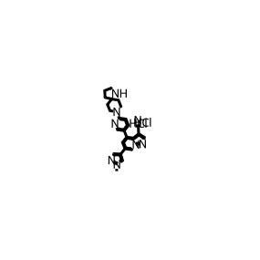 Cl.Cl.Cn1cc(-c2cc(-c3ccc(N4CCC5(CCCN5)CC4)nc3)c3c(C#N)cnn3c2)cn1